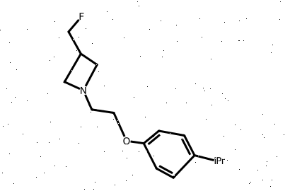 CC(C)c1ccc(OCCN2CC(CF)C2)cc1